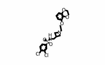 O=S(=O)(NCC1CN(CCOc2cccc3c2OCCO3)C1)c1ccc(Cl)c(Cl)c1